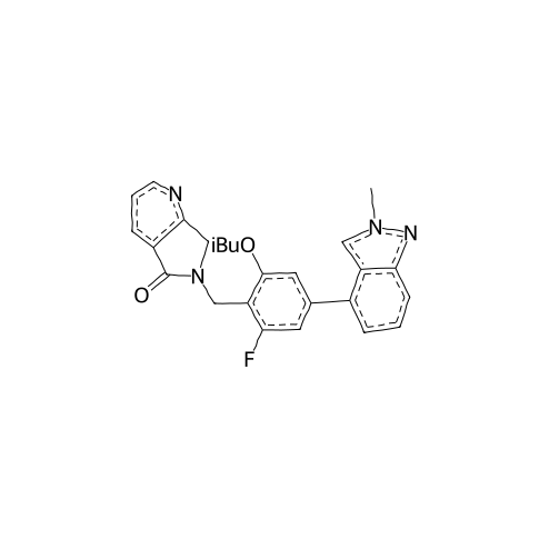 CC(C)COc1cc(-c2cccc3nn(C)cc23)cc(F)c1CN1Cc2ncccc2C1=O